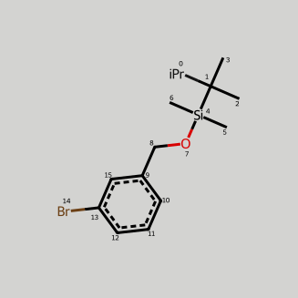 CC(C)C(C)(C)[Si](C)(C)OCc1cccc(Br)c1